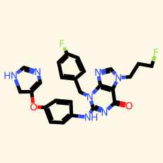 O=c1nc(Nc2ccc(OC3=CN=CNC3)cc2)n(Cc2ccc(F)cc2)c2ncn(CCCF)c12